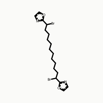 BrC(CCCCCCCCCCC(Br)c1ncco1)c1ncco1